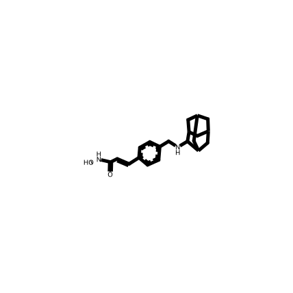 O=C(C=Cc1ccc(CNC2C3CC4CC(C3)CC2C4)cc1)NO